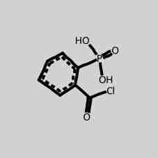 O=C(Cl)c1ccccc1P(=O)(O)O